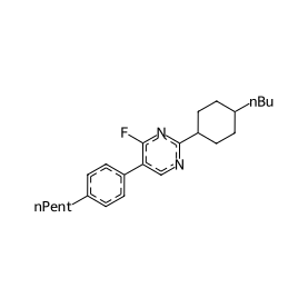 CCCCCc1ccc(-c2cnc(C3CCC(CCCC)CC3)nc2F)cc1